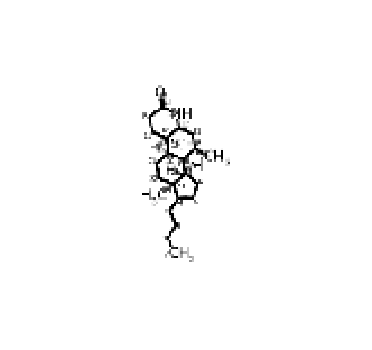 CCCCC1CC[C@H]2[C@@H]3C(C)CC4NC(=O)CC[C@]4(C)[C@@H]3CC[C@]12C